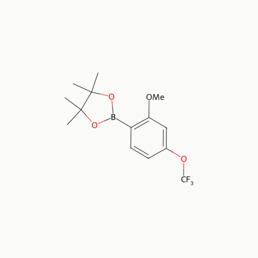 COc1cc(OC(F)(F)F)ccc1B1OC(C)(C)C(C)(C)O1